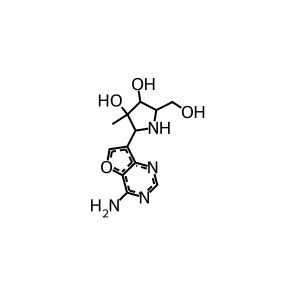 CC1(O)C(c2coc3c(N)ncnc23)NC(CO)C1O